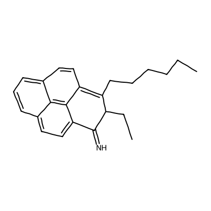 CCCCCCC1=c2ccc3cccc4ccc(c2c43)C(=N)C1CC